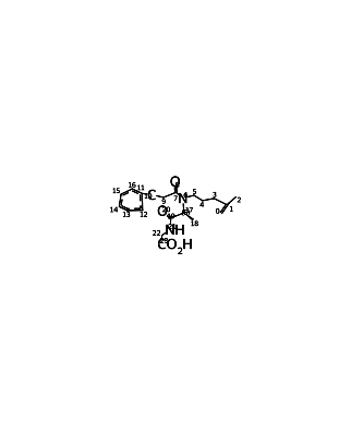 C=C(C)CCCN(C(=O)CCc1ccccc1)[C@@H](C)C(=O)NCC(=O)O